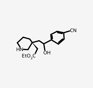 CCOC(=O)C[C@]1(CC(O)c2ccc(C#N)cc2)CCCNC1